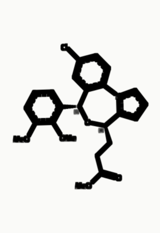 COC(=O)CC[C@H]1O[C@H](c2cccc(OC)c2OC)c2cc(Cl)ccc2-n2cccc21